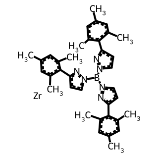 Cc1cc(C)c(-c2ccn(B(n3ccc(-c4c(C)cc(C)cc4C)n3)n3ccc(-c4c(C)cc(C)cc4C)n3)n2)c(C)c1.[Zr]